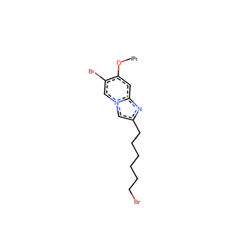 CC(C)Oc1cc2nc(CCCCCCBr)cn2cc1Br